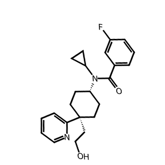 O=C(c1cccc(F)c1)N(C1CC1)[C@H]1CC[C@](CCO)(c2ccccn2)CC1